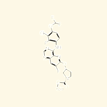 CC(C)(C)OC(=O)N1CC[C@H](Oc2nc3c(Nc4ccc(OC(F)F)c(Cl)c4F)ncnc3cc2F)C1